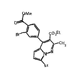 CCOC(=O)c1c(C)nn2c(CC)ccc2c1-c1ccc(C(=O)OC)c(Br)c1